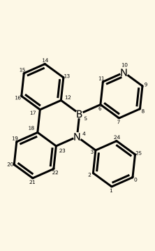 c1ccc(N2B(c3cccnc3)c3ccccc3-c3ccccc32)cc1